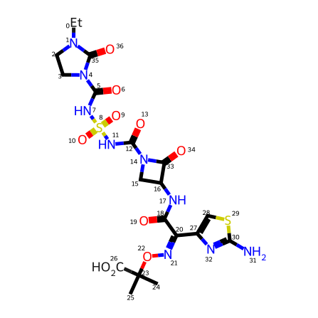 CCN1CCN(C(=O)NS(=O)(=O)NC(=O)N2CC(NC(=O)/C(=N\OC(C)(C)C(=O)O)c3csc(N)n3)C2=O)C1=O